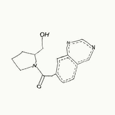 O=C(c1ccc2cncnc2c1)N1CCCC1CO